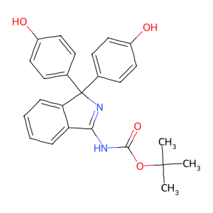 CC(C)(C)OC(=O)NC1=NC(c2ccc(O)cc2)(c2ccc(O)cc2)c2ccccc21